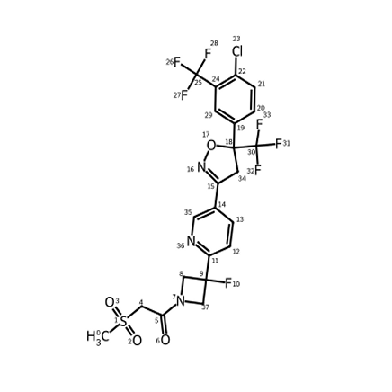 CS(=O)(=O)CC(=O)N1CC(F)(c2ccc(C3=NOC(c4ccc(Cl)c(C(F)(F)F)c4)(C(F)(F)F)C3)cn2)C1